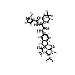 CNC(=O)C1(N2C[C@@H](C(C)C)NC2=O)Cc2ccc(NC(=O)C(NC(=O)c3ccnn3C)C3CCC(C)(C)CC3)cc2C1